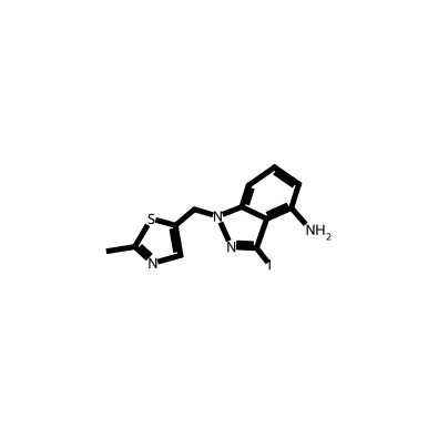 Cc1ncc(Cn2nc(I)c3c(N)cccc32)s1